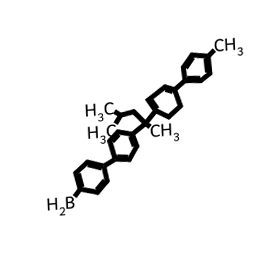 Bc1ccc(-c2ccc(C(C)(CC(C)C)C3=CC=C(c4ccc(C)cc4)CC3)cc2)cc1